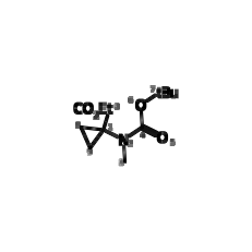 CCOC(=O)C1(N(C)C(=O)OC(C)(C)C)CC1